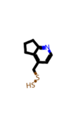 SSCc1ccnc2c1CCC2